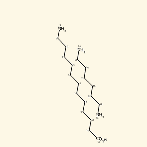 NCCCCCCCCCCCC(=O)O.NCCCCCCN